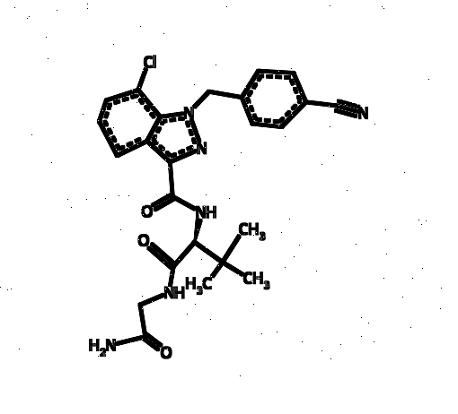 CC(C)(C)[C@H](NC(=O)c1nn(Cc2ccc(C#N)cc2)c2c(Cl)cccc12)C(=O)NCC(N)=O